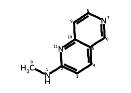 CNc1ccc2cnccc2n1